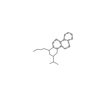 CCCCC1CC(C(C)C)Cc2c1ccc1c2ccc2ccccc21